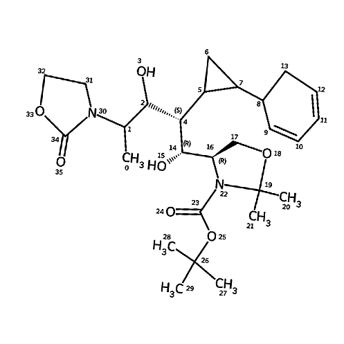 CC(C(O)[C@H](C1CC1C1C=CC=CC1)[C@@H](O)[C@H]1COC(C)(C)N1C(=O)OC(C)(C)C)N1CCOC1=O